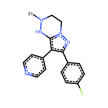 CCN1CCn2nc(-c3ccc(F)cc3)c(-c3ccncc3)c2N1